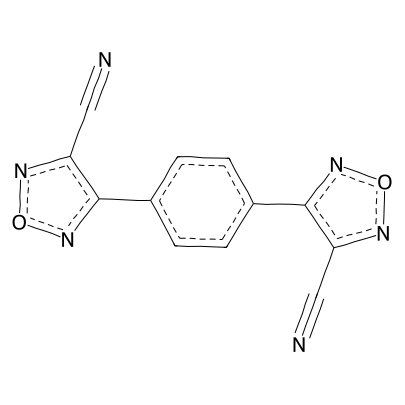 N#Cc1nonc1-c1ccc(-c2nonc2C#N)cc1